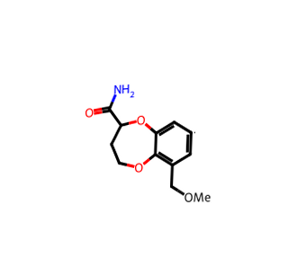 COCc1c[c]cc2c1OCCC(C(N)=O)O2